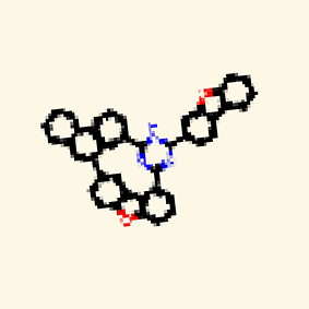 c1ccc(C2=NC(c3cccc4oc5ccc(-c6ccc7ccccc7c6)cc5c34)=NC(c3ccc4c(c3)oc3ccccc34)N2)cc1